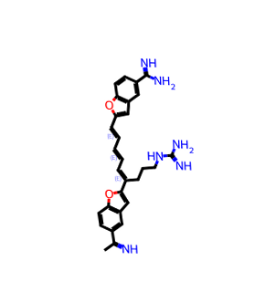 CC(=N)c1ccc2oc(/C(=C/C=C/C=C/c3cc4cc(C(=N)N)ccc4o3)CCCNC(=N)N)cc2c1